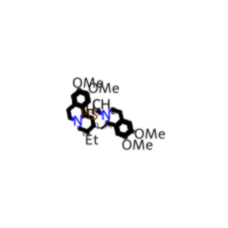 C=C(S)N1CCc2cc(OC)c(OC)cc2[C@H]1C[C@H]1C[C@H]2c3cc(OC)c(OC)cc3CCN2C[C@@H]1CC